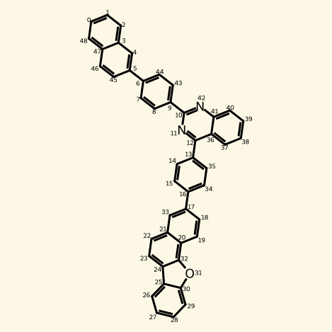 c1ccc2cc(-c3ccc(-c4nc(-c5ccc(-c6ccc7c(ccc8c9ccccc9oc78)c6)cc5)c5ccccc5n4)cc3)ccc2c1